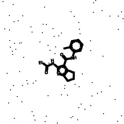 CCC(=O)Nc1sc2c(c1C(=O)Nc1ccccc1C)CCC2